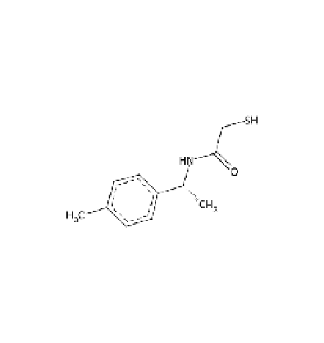 Cc1ccc([C@@H](C)NC(=O)CS)cc1